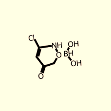 O=C1C=C(Cl)NOC1.OBO